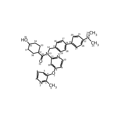 Cc1ncccc1Oc1ccnc(N(Cc2ccc(-c3ccc(N(C)C)cc3)cc2)C(=O)C2CCC(O)CC2)c1